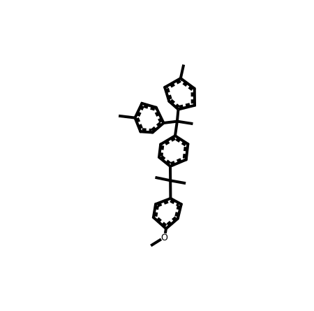 COc1ccc(C(C)(C)c2ccc(C(C)(c3ccc(C)cc3)c3ccc(C)cc3)cc2)cc1